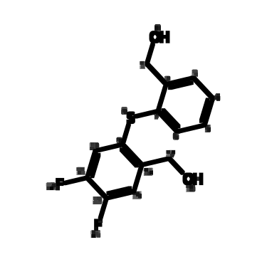 OCc1ccccc1Sc1cc(F)c(F)cc1CO